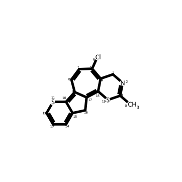 CC1=NCC2=C(Cl)C=CC3=C4SC=CC=C4CC3=C2S1